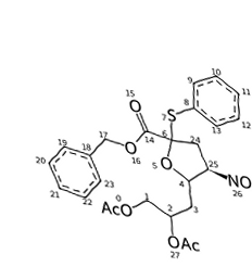 CC(=O)OCC(CC1OC(Sc2ccccc2)(C(=O)OCc2ccccc2)C[C@H]1N=O)OC(C)=O